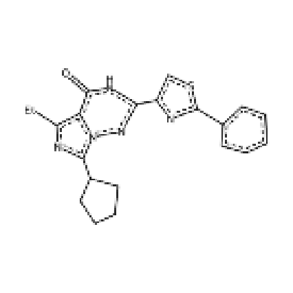 CCc1nc(C2CCCC2)n2nc(-c3csc(-c4ccccc4)n3)[nH]c(=O)c12